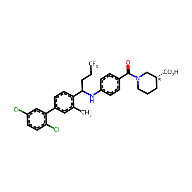 Cc1cc(-c2cc(Cl)ccc2Cl)ccc1C(CCC(F)(F)F)Nc1ccc(C(=O)N2CCC[C@@H](C(=O)O)C2)cc1